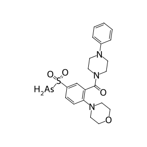 O=C(c1cc(S(=O)(=O)[AsH2])ccc1N1CCOCC1)N1CCN(c2ccccc2)CC1